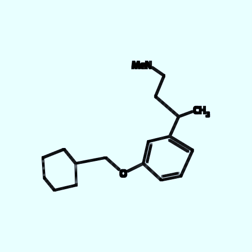 CNCCC(C)c1cccc(OCC2CCCCC2)c1